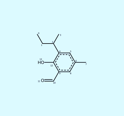 CCC(C)c1cc(C)cc(C=O)c1O